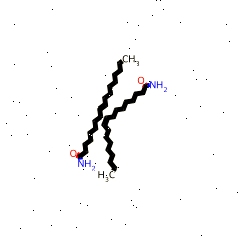 CCCCCCCC/C=C/CCCCCCCC(N)=O.CCCCCCCC/C=C\CCCCCCCC(N)=O